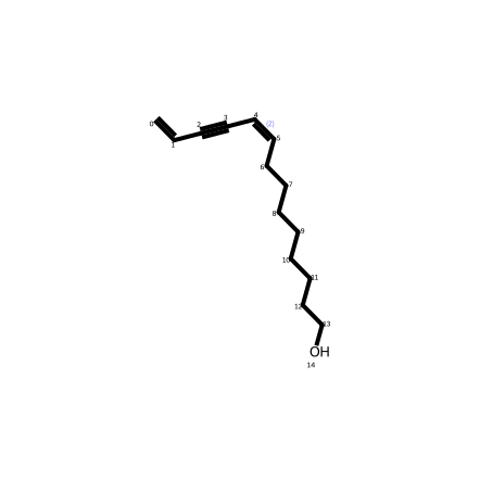 C=CC#C/C=C\CCCCCCCCO